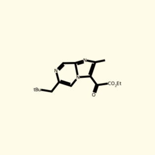 CCOC(=O)C(=O)c1c(C)nc2cnc(CC(C)(C)C)cn12